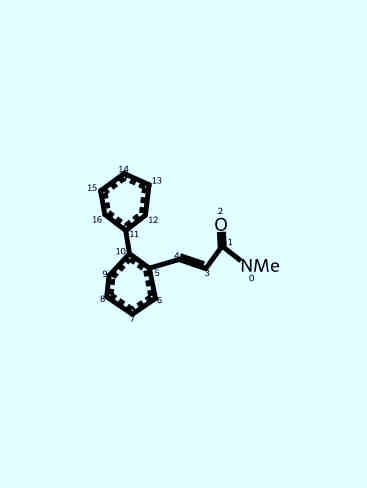 CNC(=O)/C=C/c1ccccc1-c1ccccc1